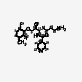 Cc1ccc(F)c(OCC(=O)[C@H](CCCCN)NC(=O)c2ccncc2)c1F